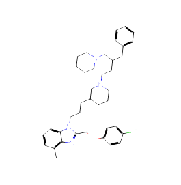 Cc1cccc2c1nc(COc1ccc(Cl)cc1)n2CCCC1CCCN(CCC(Cc2ccccc2)CN2CCCCC2)C1